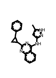 Cc1cc(Nc2nc(C3CC3c3ccccc3)nc3ccccc23)n[nH]1